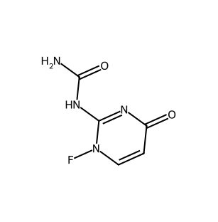 NC(=O)Nc1nc(=O)ccn1F